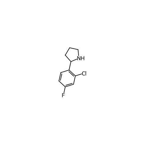 Fc1ccc(C2CCCN2)c(Cl)c1